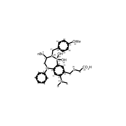 CCCCC1CN(c2ccccc2)c2cc(N(C)C)c(CSCC(=O)O)cc2S(O)(O)N1Cc1ccc(OC)cc1